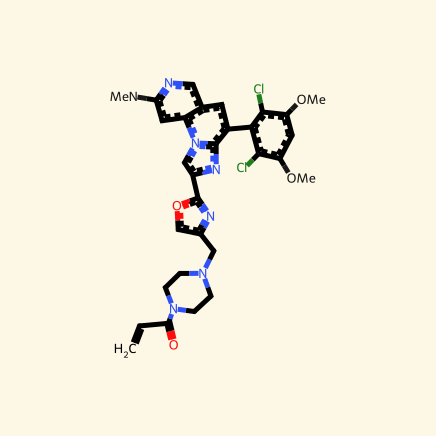 C=CC(=O)N1CCN(Cc2coc(-c3cn4c(n3)c(-c3c(Cl)c(OC)cc(OC)c3Cl)cc3cnc(NC)cc34)n2)CC1